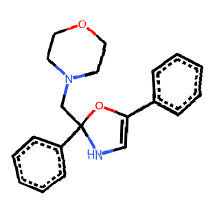 C1=C(c2ccccc2)OC(CN2CCOCC2)(c2ccccc2)N1